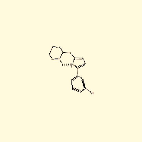 O=C(O)N1CCCCC1Cc1ncc(-c2cccc(Cl)c2)[nH]1